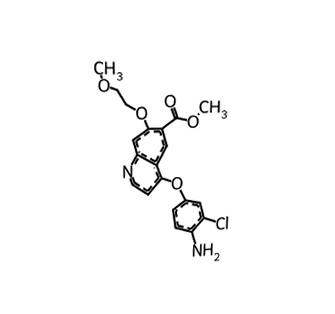 COCCOc1cc2nccc(Oc3ccc(N)c(Cl)c3)c2cc1C(=O)OC